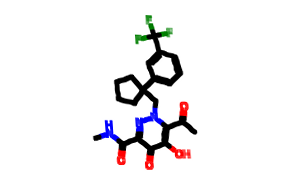 CNC(=O)c1nn(CC2(c3cccc(C(F)(F)F)c3)CCCC2)c(C(C)=O)c(O)c1=O